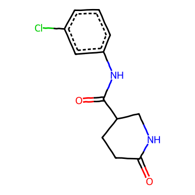 O=C1CCC(C(=O)Nc2cccc(Cl)c2)CN1